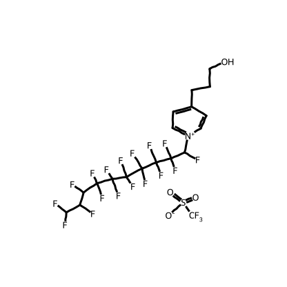 O=S(=O)([O-])C(F)(F)F.OCCCc1cc[n+](C(F)C(F)(F)C(F)(F)C(F)(F)C(F)(F)C(F)(F)C(F)(F)C(F)C(F)C(F)F)cc1